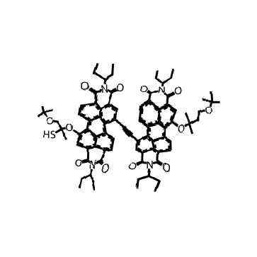 CCC(CC)N1C(=O)c2ccc3c4c(OC(C)(C)CCOC(C)(C)C)cc5c6c(ccc(c7c(C#Cc8cc9c%10c(ccc%11c%12c(OC(C)(S)COC(C)(C)C)cc%13c%14c(ccc(c8c%10%11)c%14%12)C(=O)N(C(CC)CC)C%13=O)C(=O)N(C(CC)CC)C9=O)cc(c2c37)C1=O)c64)C(=O)N(C(CC)CC)C5=O